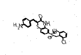 Nc1ccc(C=C2Sc3ccc(S(=O)(=O)Cc4c(Cl)cccc4Cl)cc3NC2=O)cc1